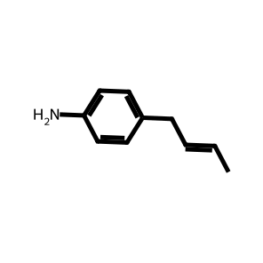 CC=CCc1ccc(N)cc1